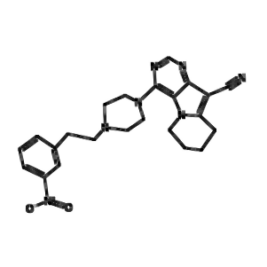 N#Cc1c2n(c3c(N4CCN(CCc5cccc([N+](=O)[O-])c5)CC4)ncnc13)CCCC2